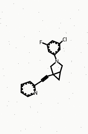 Fc1cc(Cl)cc(N2CC3CC3(C#Cc3ccccn3)C2)c1